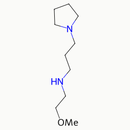 COCCNCCCN1CCCC1